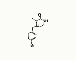 CC1C(=O)NCCN1Cc1ccc(Br)cc1